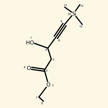 CCOC(=O)CC(O)C#C[Si](C)(C)C